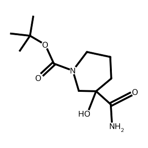 CC(C)(C)OC(=O)N1CCCC(O)(C(N)=O)C1